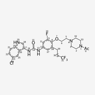 CC(=O)N1CCN(CCOc2c(F)cc(NC(=O)Nc3c[nH]c4ccc(Cl)cc34)cc2CSC(F)(F)F)CC1